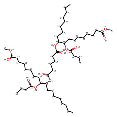 CCCCCCCCC(OC(=O)CCCCC(=O)OC(CCCCCCCC)C(CCCCCCCC(=O)OC)OC(=O)CCC)C(CCCCCCCC(=O)OC)OC(=O)CCC